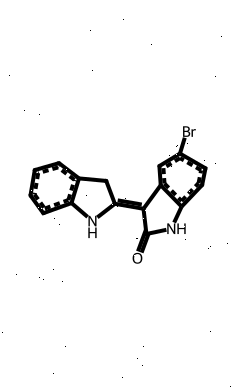 O=C1Nc2ccc(Br)cc2C1=C1Cc2ccccc2N1